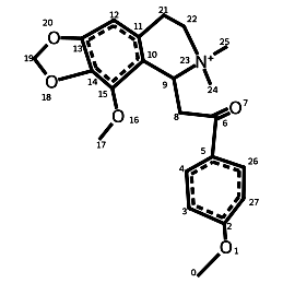 COc1ccc(C(=O)CC2c3c(cc4c(c3OC)OCO4)CC[N+]2(C)C)cc1